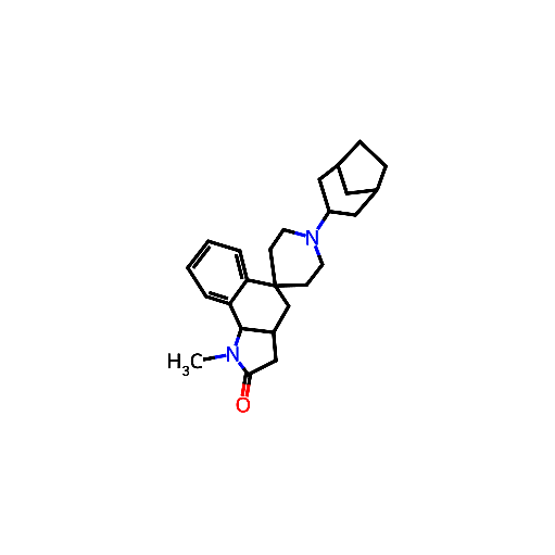 CN1C(=O)CC2CC3(CCN(C4CC5CCC(C5)C4)CC3)c3ccccc3C21